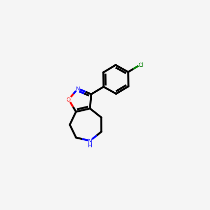 Clc1ccc(-c2noc3c2CCNCC3)cc1